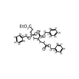 CCOC(=O)CCP(=O)(CC(CCC(=O)OCc1ccccc1)C(=O)OCc1ccccc1)OCc1ccccc1